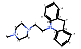 CN1CCN(CCN2c3ccccc3Cc3ccccc32)CC1